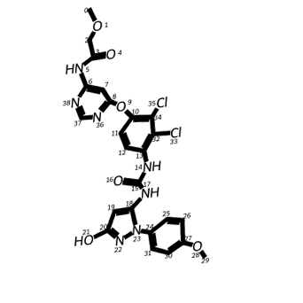 COCC(=O)Nc1cc(Oc2ccc(NC(=O)Nc3cc(O)nn3-c3ccc(OC)cc3)c(Cl)c2Cl)ncn1